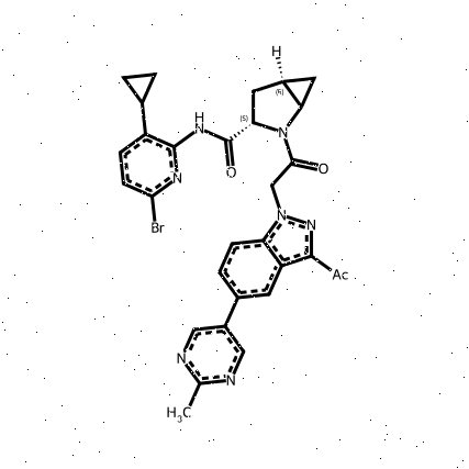 CC(=O)c1nn(CC(=O)N2C3C[C@@H]3C[C@H]2C(=O)Nc2nc(Br)ccc2C2CC2)c2ccc(-c3cnc(C)nc3)cc12